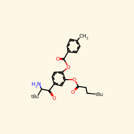 Cc1ccc(C(=O)Oc2ccc(C(=O)C(N)C(C)(C)C)cc2OC(=O)CCC(C)(C)C)cc1